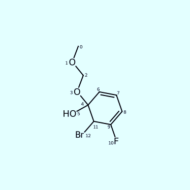 COCOC1(O)C=CC=C(F)C1Br